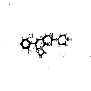 Clc1cccc(Cl)c1C1=Cc2cnc(N3CCNCC3)nc2N2CCN=C12